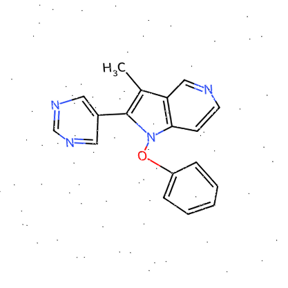 Cc1c(-c2cncnc2)n(Oc2ccccc2)c2ccncc12